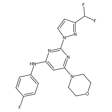 Fc1ccc(Nc2cc(N3CCOCC3)nc(-n3ccc(C(F)F)n3)n2)cc1